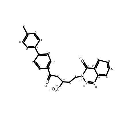 Cc1ccc(-c2ccc(C(=O)CC(CCn3nnc4ccccc4c3=O)C(=O)O)cc2)cc1